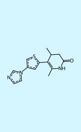 CC1=C(c2cc(-n3ccnc3)cs2)C(C)CC(=O)N1